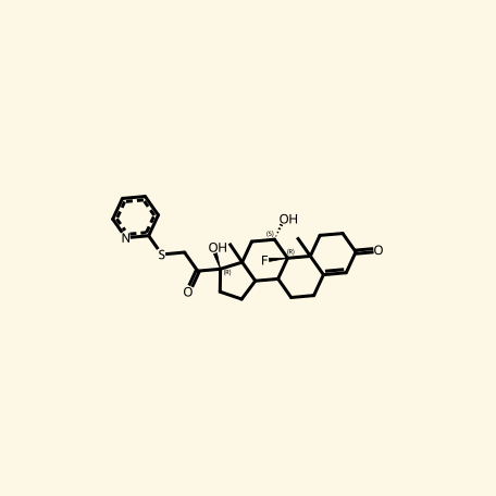 CC12C[C@H](O)[C@@]3(F)C(CCC4=CC(=O)CCC43C)C1CC[C@]2(O)C(=O)CSc1ccccn1